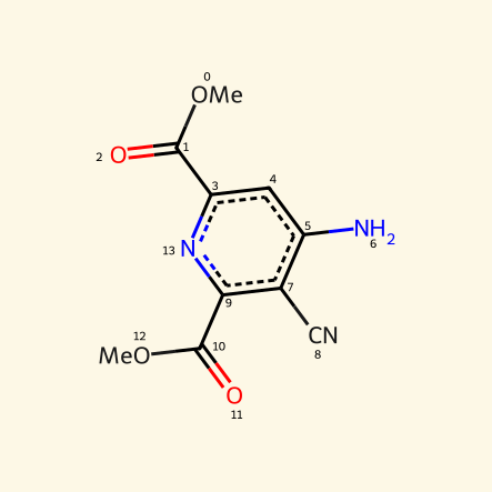 COC(=O)c1cc(N)c(C#N)c(C(=O)OC)n1